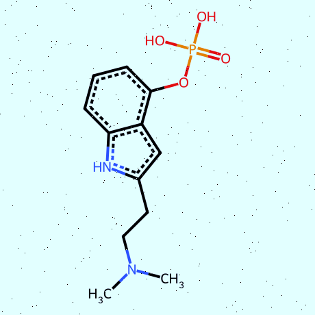 CN(C)CCc1cc2c(OP(=O)(O)O)cccc2[nH]1